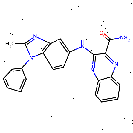 Cc1nc2cc(Nc3nc4ccccc4nc3C(N)=O)ccc2n1-c1ccccc1